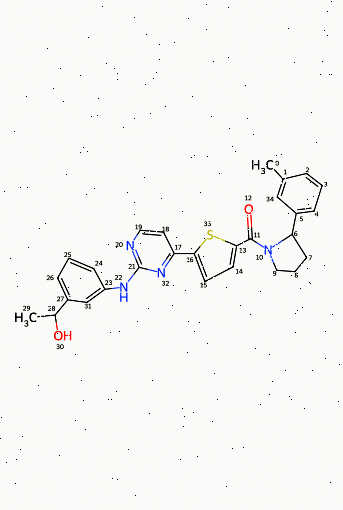 Cc1cccc(C2CCCN2C(=O)c2ccc(-c3ccnc(Nc4cccc(C(C)O)c4)n3)s2)c1